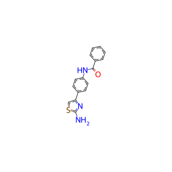 Nc1nc(-c2ccc(NC(=O)c3ccccc3)cc2)cs1